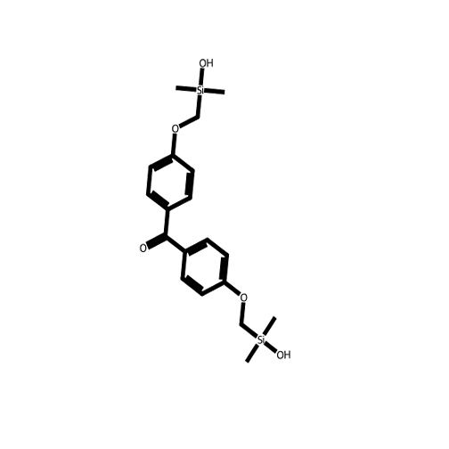 C[Si](C)(O)COc1ccc(C(=O)c2ccc(OC[Si](C)(C)O)cc2)cc1